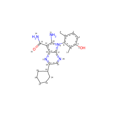 Cc1ccc(O)c(C)c1-n1c(N)c(C(N)=O)c2nc(C3CCCCC3)cnc21